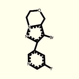 Fc1cncc(-c2nn3c(c2Br)COCC3)c1